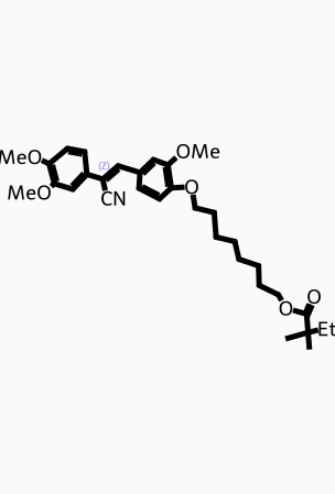 CCC(C)(C)C(=O)OCCCCCCCCOc1ccc(/C=C(\C#N)c2ccc(OC)c(OC)c2)cc1OC